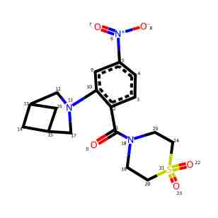 O=C(c1ccc([N+](=O)[O-])cc1N1CC2CC(C2)C1)N1CCS(=O)(=O)CC1